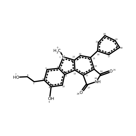 Cn1c2cc(CCO)c(O)cc2c2c3c(c(-c4ccccc4)cc21)C(=O)NC3=O